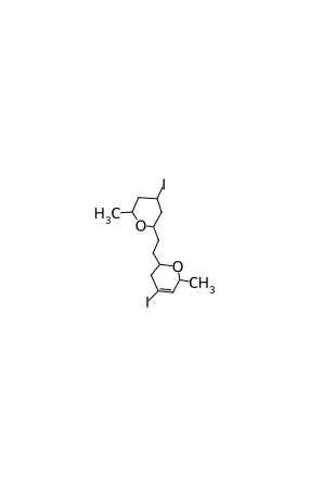 CC1C=C(I)CC(CCC2CC(I)CC(C)O2)O1